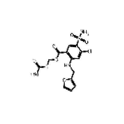 CCCCC(=O)OCOC(=O)c1cc(S(N)(=O)=O)c(Cl)cc1NCc1ccco1